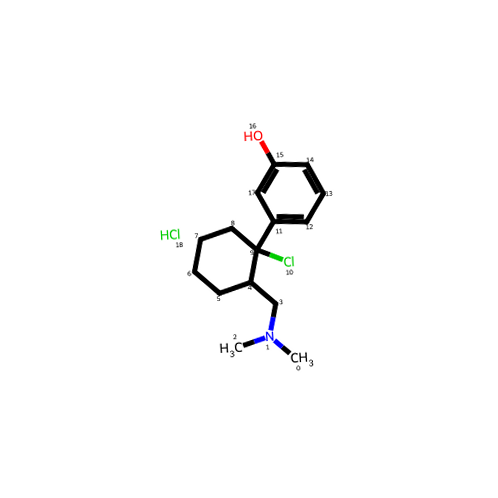 CN(C)CC1CCCCC1(Cl)c1cccc(O)c1.Cl